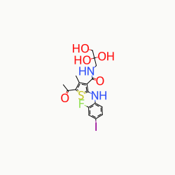 CC(=O)c1sc(Nc2ccc(I)cc2F)c(C(=O)NCC(O)(O)CO)c1C